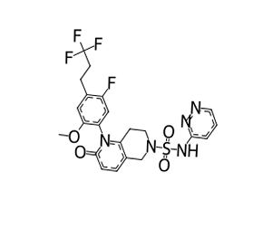 COc1cc(CCC(F)(F)F)c(F)cc1-n1c2c(ccc1=O)CN(S(=O)(=O)Nc1cccnn1)CC2